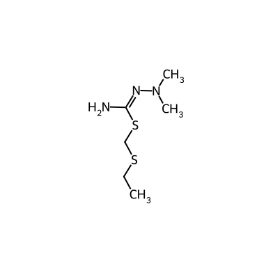 CCSCS/C(N)=N\N(C)C